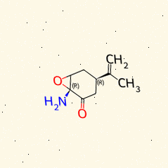 C=C(C)[C@H]1CC(=O)[C@]2(N)OC2C1